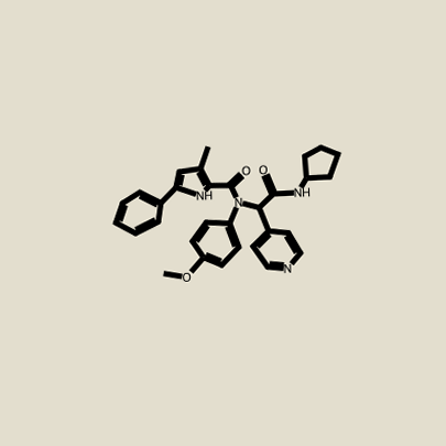 COc1ccc(N(C(=O)c2[nH]c(-c3ccccc3)cc2C)C(C(=O)NC2CCCC2)c2ccncc2)cc1